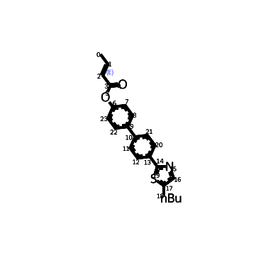 C/C=C/C(=O)Oc1ccc(-c2ccc(-c3ncc(CCCC)s3)cc2)cc1